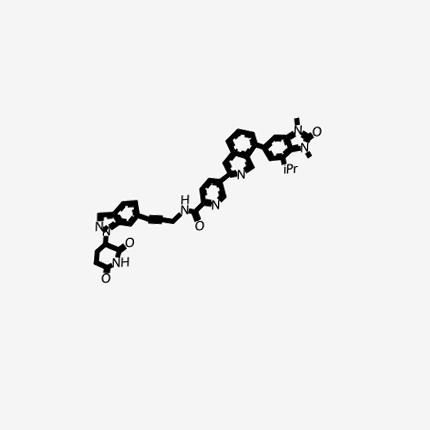 CC(C)c1cc(-c2cccc3cc(-c4ccc(C(=O)NCC#Cc5ccc6cnn(C7CCC(=O)NC7=O)c6c5)nc4)ncc23)cc2c1n(C)c(=O)n2C